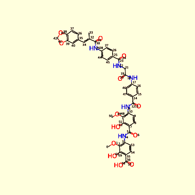 COc1c(NC(=O)c2ccc(NC(=O)c3ccc(NC(=O)CNC(=O)c4ccc(NC(=O)/C(C)=C/c5ccc6c(c5)OCO6)cc4)cc3)c(OC)c2O)ccc(C(=O)O)c1O